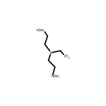 CCCCCCCCCCCCN(CCCCCCCCCCCC)CC(F)(F)F